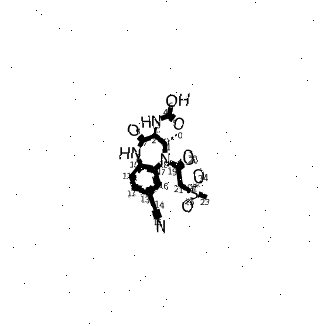 C[C@H]1[C@H](NC(=O)O)C(=O)Nc2ccc(C#N)cc2N1C(=O)CS(C)(=O)=O